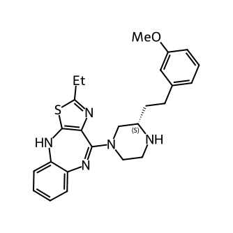 CCc1nc2c(s1)Nc1ccccc1N=C2N1CCN[C@@H](CCc2cccc(OC)c2)C1